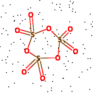 O=S1(=O)OS(=O)(=O)OS(=O)(=O)O1